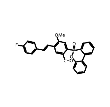 COc1cc(P2(=O)Oc3ccccc3-c3ccccc32)c(C=O)cc1/C=C/c1ccc(F)cc1